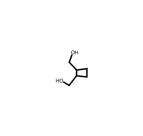 OC[C]1CCC1CO